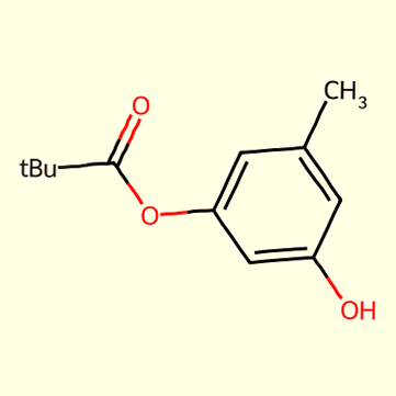 Cc1cc(O)cc(OC(=O)C(C)(C)C)c1